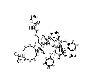 CC(C)C[C@@H](NC(=O)[C@@H](Cc1ccccc1)NC(=O)[C@@H](Cc1ccccc1)NC(=O)OC(C)(C)C)C(=O)N[C@H](CCCCNC(=O)OC(C)(C)C)C(=O)N1CCCCN(C(=O)C(F)(F)F)CCCC1